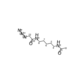 CC(=O)NCCCCCNC(=O)CN=[N+]=[N-]